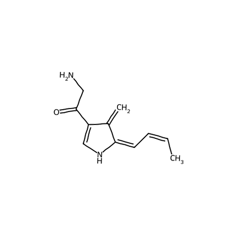 C=c1c(C(=O)CN)c[nH]/c1=C/C=C\C